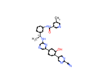 Cc1cncc(C(=O)Nc2cccc([C@H](C)Nc3cncc(-c4ccc(-c5cnc(C#N)nc5)c(O)c4)n3)c2)c1